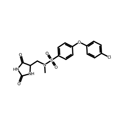 CN(CC1NC(=O)NC1=O)S(=O)(=O)c1ccc(Oc2ccc(Cl)cc2)cc1